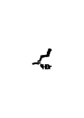 Br.C=CCP(C)C